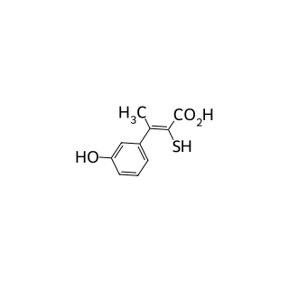 C/C(=C(/S)C(=O)O)c1cccc(O)c1